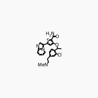 CNCCc1ccc(C(C)Oc2cc(-c3cnc4ccccn34)sc2C(N)=O)c(Cl)c1